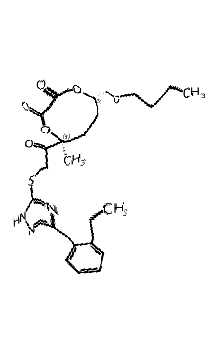 CCCCOC[C@@H]1CC[C@@](C)(C(=O)CSc2nc(-c3ccccc3CC)n[nH]2)OC(=O)C(=O)O1